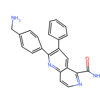 NCc1ccc(-c2nc3ccnc(C(N)=O)c3cc2-c2ccccc2)cc1